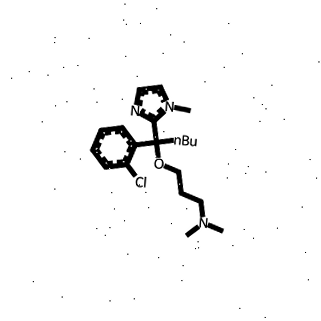 CCCCC(OCCCN(C)C)(c1ccccc1Cl)c1nccn1C